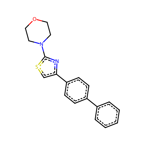 c1ccc(-c2ccc(-c3csc(N4CCOCC4)n3)cc2)cc1